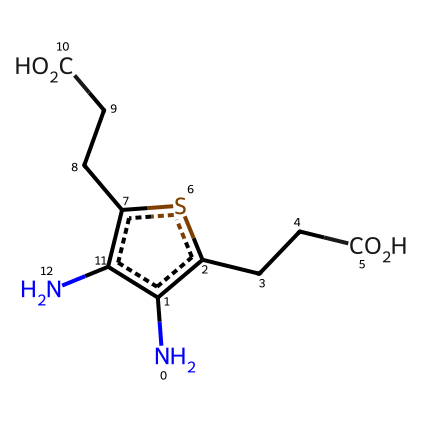 Nc1c(CCC(=O)O)sc(CCC(=O)O)c1N